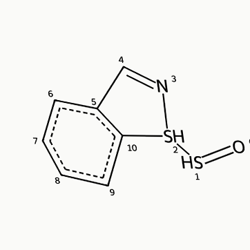 O=[SH][SH]1N=Cc2ccccc21